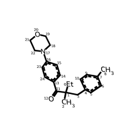 CCC(C)(Cc1ccc(C)cc1)C(=O)c1ccc(N2CCOCC2)cc1